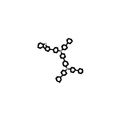 c1ccc(-c2ccc(N(c3ccc(-c4ccccc4)cc3)c3ccc(-c4ccc(N(c5ccc(-c6ccccc6)cc5)c5ccc(-c6ccc7c(c6)oc6ccccc67)cc5)cc4)cc3)cc2)cc1